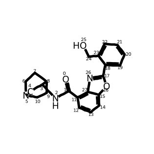 O=C(NC1CN2CCC1CC2)c1cccc2oc(-c3ccccc3CO)nc12